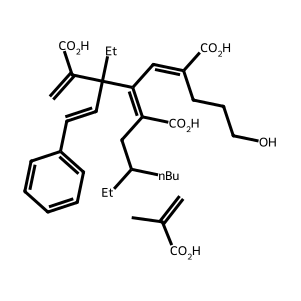 C=C(C(=O)O)C(C=Cc1ccccc1)(CC)C(C=C(CCCO)C(=O)O)=C(CC(CC)CCCC)C(=O)O.C=C(C)C(=O)O